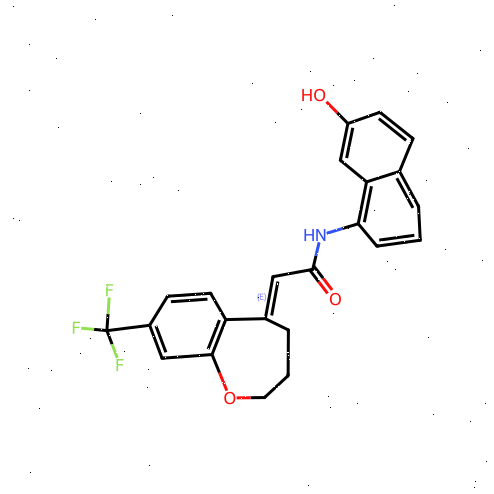 O=C(/C=C1\CCCOc2cc(C(F)(F)F)ccc21)Nc1cccc2ccc(O)cc12